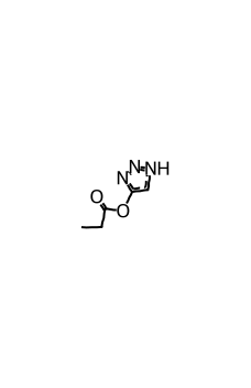 CCC(=O)Oc1c[nH]nn1